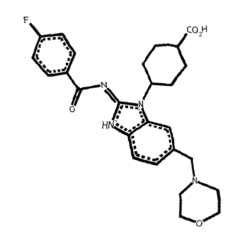 O=C(/N=c1\[nH]c2ccc(CN3CCOCC3)cc2n1C1CCC(C(=O)O)CC1)c1ccc(F)cc1